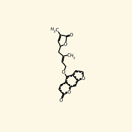 CC1=CC(C/C(C)=C/COc2c3ccoc3cc3oc(=O)ccc23)OC1=O